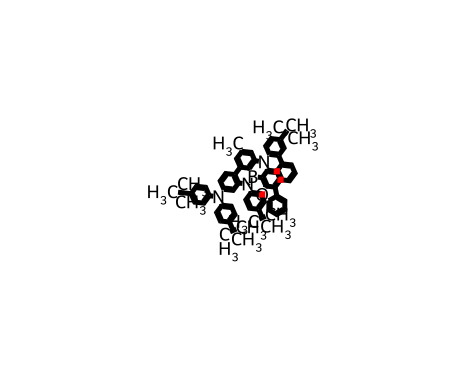 Cc1cc2c3c(c1)N(c1ccc(C(C)(C)C)cc1-c1ccccc1)c1ccc4c(oc5ccccc54)c1B3N(c1ccc(C(C)(C)C)cc1)c1cc(N(c3ccc(C(C)(C)C)cc3)c3ccc(C(C)(C)C)cc3)ccc1-2